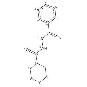 O=C(ONC(=O)C1CCCCC1)c1cccnc1